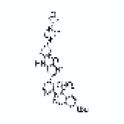 CC1CN(c2ccc(Nc3cc(-c4ccnc(-n5ncc6cc(C(C)(C)C)cc(F)c6c5=O)c4C=O)cn(C)c3=O)nc2)CCN1C1COC1